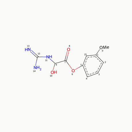 COc1cccc(OC(=O)C(O)NC(=N)N)c1